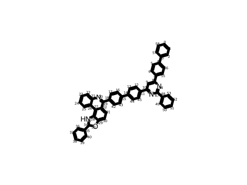 c1ccc(-c2ccc(-c3cc(-c4ccc(-c5ccc(-c6nc7ccccc7c7c8c(ccc67)OC(c6ccccc6)N8)cc5)cc4)nc(-c4ccccc4)n3)cc2)cc1